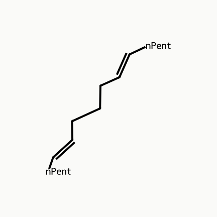 [CH2]CCCCC=CCCCC=CCCCCC